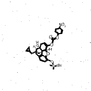 CC(C)(C)[Si](C)(C)Oc1ccc2c3c1O[C@@H]1C(OC(=O)Oc4ccc([N+](=O)[O-])cc4)=CC[C@]4(O)[C@H](C2)N(CC2CC2)CC[C@@]314